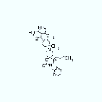 CCCC[C@H]1CN(Cc2ncccn2)C(=O)OC12CCN(C1(C)CCN(C(=O)c3c(C)ccnc3C)CC1)CC2